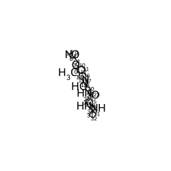 Cc1c(OCc2cnco2)ccc2c1CCN(C[C@@H](O)CNC(=O)C1CCNC(NC3CCCC3)C1)C2